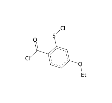 CCOc1ccc(C(=O)Cl)c(SCl)c1